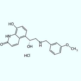 COc1cccc(CNC[C@H](O)c2ccc(O)c3[nH]c(=O)ccc23)c1.Cl